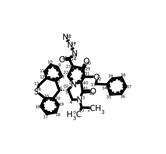 CC(C)N1C[C@H](C2c3ccccc3CSc3ccccc32)n2cc(C(=O)N=[N+]=[N-])c(=O)c(OCc3ccccc3)c2C1=O